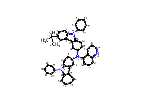 CC(C)(C)c1ccc2c(c1)c1cc(N(c3ccc4c(c3)c3ccccc3n4-c3ccccc3)c3cccc4ncccc34)ccc1n2-c1ccccc1